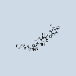 O=C(COc1ccc(Cl)c(F)c1)N[C@H]1CC[C@H](c2nnc(OCCCC(F)(F)F)o2)NC1